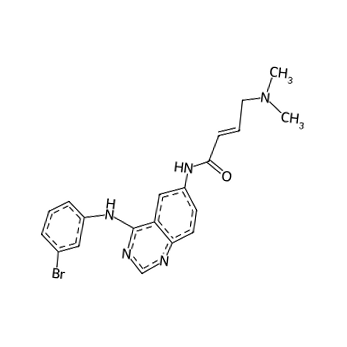 CN(C)CC=CC(=O)Nc1ccc2ncnc(Nc3cccc(Br)c3)c2c1